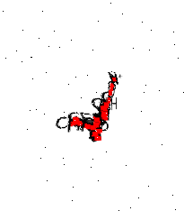 [N-]=[N+]=NCCOCCOCCOCCNC(=O)C1CCN(Cc2cccc(C(=O)Nc3ccc(N4CCCCC4)cc3C(=O)NN=Cc3ccc(Cl)c(C(F)(F)F)c3)c2)CC1